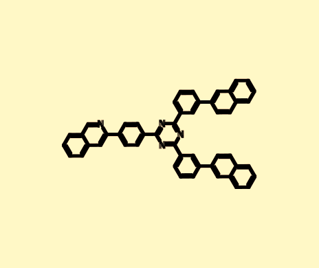 c1cc(-c2ccc3ccccc3c2)cc(-c2nc(-c3ccc(-c4cc5ccccc5cn4)cc3)nc(-c3cccc(-c4ccc5ccccc5c4)c3)n2)c1